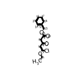 CCOC(Cl)=CC(=O)CC(=O)OCc1ccccc1